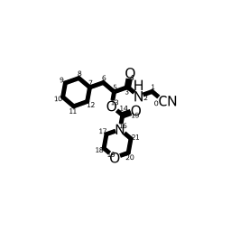 N#CCNC(=O)C(CC1CCCCC1)OC(=O)N1CCOCC1